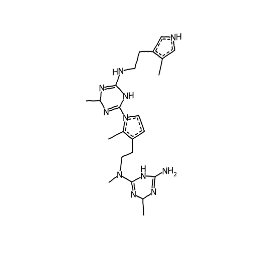 Cc1c[nH]cc1CCNC1=NC(C)N=C(n2ccc(CCN(C)C3=NC(C)N=C(N)N3)c2C)N1